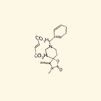 C=C1N(C)C(=O)OC12CCN(Cc1ccccc1)CC2.O=C(O)C=CC(=O)O